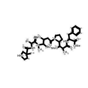 CCC(C)C(C(CC(=O)N1CCCC1C(OC)C(C)C(=O)NC(Cc1ccccc1)C(=O)OC)OC)N(C)C(=O)C(NC(=O)C1(F)CCNC1)C(C)C